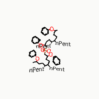 CCCCCC(CCC(C)Oc1ccccc1)C(CCCCC)CCC(CS(=O)(=O)CC(CCC(CCCCC)C(CCCCC)CCC(C)Oc1ccccc1)Oc1ccccc1)Oc1ccccc1